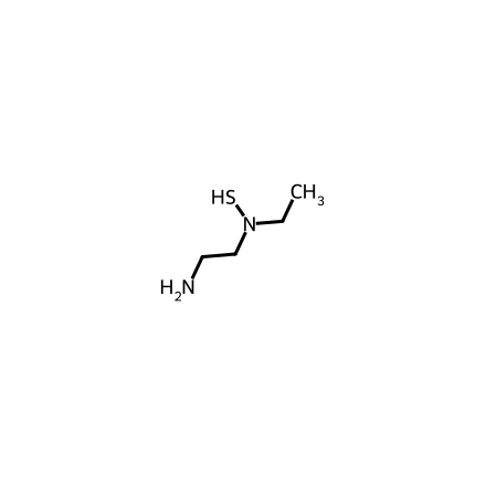 CCN(S)CCN